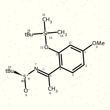 COc1ccc(/C(C)=N/[S@@+]([O-])C(C)(C)C)c(O[Si](C)(C)C(C)(C)C)c1